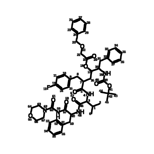 CC(C)C(NC(=O)C(Cc1ccc(F)cc1)CC(OC(=O)COCc1ccccc1)C(Cc1ccccc1)NC(=O)OC(C)(C)C)C(=O)NC(Cc1ccccc1)C(=O)NC(=O)N1CCOCC1